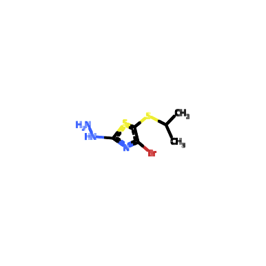 CC(C)Sc1sc(NN)nc1Br